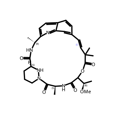 CO[C@H](C)C1OC(=O)C(C)(C)/C=C/c2ccc3ccc(nc3c2)[C@@H](C)NC(=O)[C@@H]2CCCN(N2)C(=O)[C@H](C)NC1=O